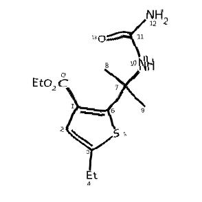 CCOC(=O)c1cc(CC)sc1C(C)(C)NC(N)=O